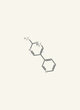 C/C=C(\C=N/C(C)N)c1cccnc1